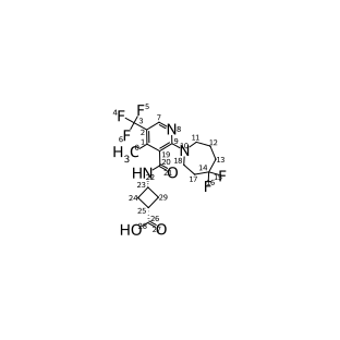 Cc1c(C(F)(F)F)cnc(N2CCCC(F)(F)CC2)c1C(=O)N[C@H]1C[C@@H](C(=O)O)C1